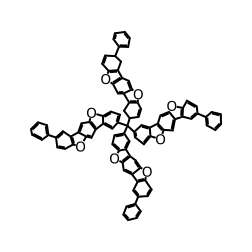 C1=CC(c2ccccc2)Cc2c1oc1cc3c4c(oc3cc21)C=CC(C(c1ccc2oc3cc5c(cc3c2c1)oc1ccc(-c2ccccc2)cc15)(c1ccc2oc3cc5c(cc3c2c1)oc1ccc(-c2ccccc2)cc15)c1ccc2oc3cc5c(cc3c2c1)oc1ccc(-c2ccccc2)cc15)C4